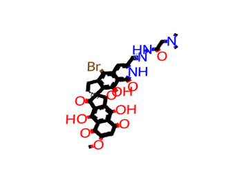 COC1=CC(=O)c2c(O)c3c(c(O)c2C1=O)C(=O)[C@]1(CCc2c1c(O)c1c(=O)[nH]c(/C=N/NC(=O)CN(C)C)cc1c2Br)C3=O